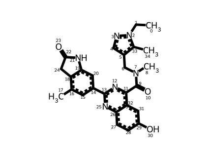 CCn1ncc(CN(C)C(=O)c2nc(-c3cc(C)c4c(c3)NC(=O)C4)nc3ccc(O)cc23)c1C